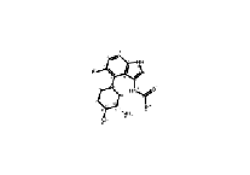 CC(C)C(=O)Nc1c[nH]c2ncc(Br)c(N3CC[C@H](O)[C@@H](N)C3)c12